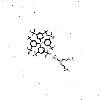 CCC[NH+](CCC)CCC.FC(F)(F)c1cc([B-](c2cc(C(F)(F)F)cc(C(F)(F)F)c2)(c2cc(C(F)(F)F)cc(C(F)(F)F)c2)c2cc(C(F)(F)F)cc(C(F)(F)F)c2)cc(C(F)(F)F)c1